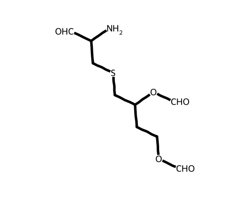 NC(C=O)CSCC(CCOC=O)OC=O